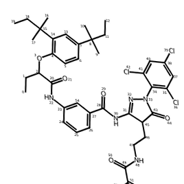 CCC(Oc1ccc(C(C)(C)CC)cc1C(C)(C)CC)C(=O)Nc1cccc(C(=O)NC2=NN(c3c(Cl)cc(Cl)cc3Cl)C(=O)C2CCNC(=O)C(=O)O)c1